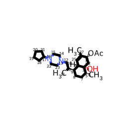 CC(=O)O[C@@H]1[CH][C@@]2(O)[C@H](C)CC[C@@H](C(C)CN3CCN(C4CCCC4)CC3)[C@H]2C=C1C